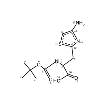 CC(C)(C)OC(=O)NC(Cc1nc(N)cs1)C(=O)O